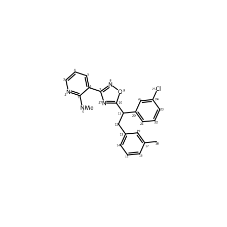 CNc1ncccc1-c1noc(C(Cc2cccc(C)c2)c2cccc(Cl)c2)n1